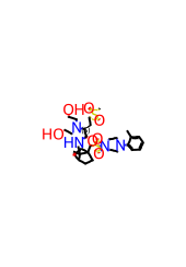 Cc1ccccc1N1CCN(S(=O)(=O)CC23CCC(CC2NC(=O)[C@H](CCS(C)(=O)=O)N(CCO)CCO)C3(C)C)CC1